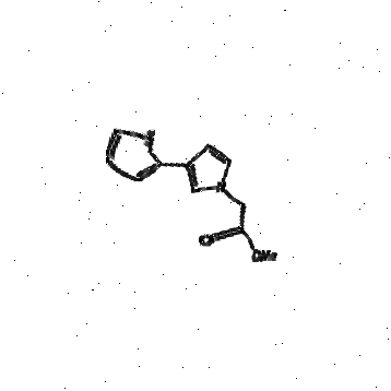 COC(=O)Cn1ccc(-c2cccs2)c1